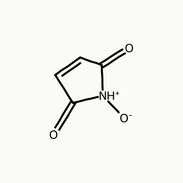 O=C1C=CC(=O)[NH+]1[O-]